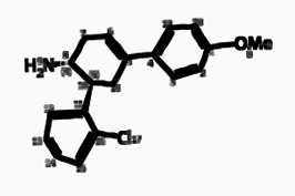 COc1ccc(C2=CC[C@@H](N)[C@H](c3ccccc3Cl)C2)cc1